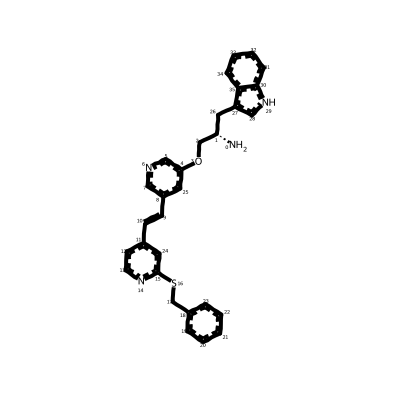 N[C@H](COc1cncc(/C=C/c2ccnc(SCc3ccccc3)c2)c1)Cc1c[nH]c2ccccc12